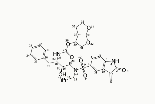 C=C1C(=O)Nc2ccc(S(=O)(=O)N(CC(C)C)C[C@@H](O)[C@H](Cc3ccccc3)NC(=O)OC3COC4OCCC34)cc21